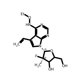 C=Cc1cn([C@@H]2OC(CO)C(O)[C@@]2(C)F)c2ncnc(NOCC)c12